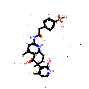 CCS(=O)(=O)c1ccc(CC(=O)Nc2cc(C)c3c(n2)CCC(C)(c2c(C)ccnc2O)C3=O)cc1